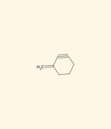 C=C1C#CCCC1